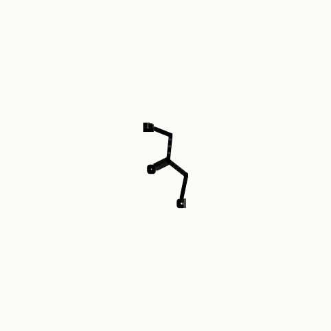 CCCC(=O)CCl